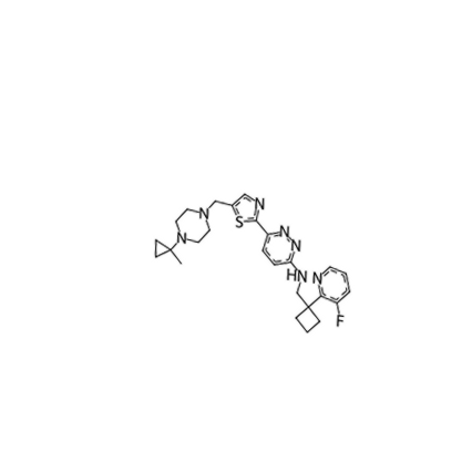 CC1(N2CCN(Cc3cnc(-c4ccc(NCC5(c6ncccc6F)CCC5)nn4)s3)CC2)CC1